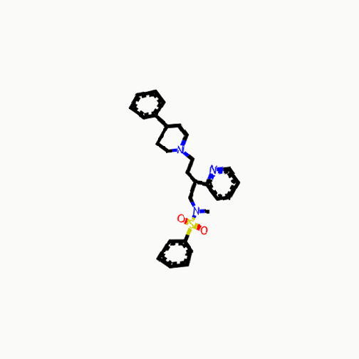 CN(CC(CCN1CCC(c2ccccc2)CC1)c1ccccn1)S(=O)(=O)c1ccccc1